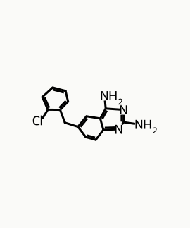 Nc1nc(N)c2cc(Cc3ccccc3Cl)ccc2n1